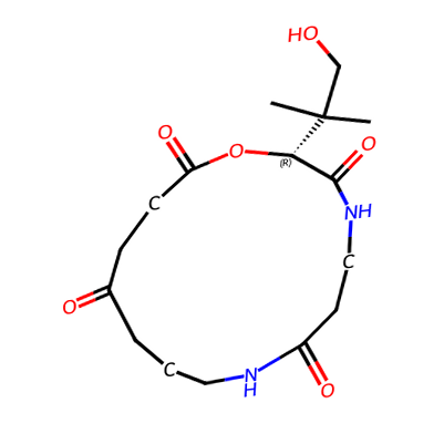 CC(C)(CO)[C@H]1OC(=O)CCC(=O)CCCNC(=O)CCNC1=O